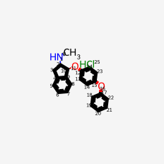 CN[C@H]1Cc2ccccc2[C@H]1Oc1ccc(Oc2ccccc2)cc1.Cl